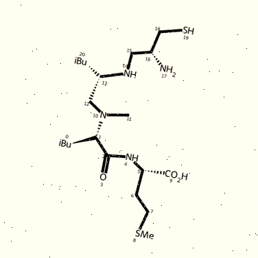 CC[C@H](C)[C@@H](C(=O)N[C@@H](CCSC)C(=O)O)N(C)C[C@@H](NC[C@@H](N)CS)[C@@H](C)CC